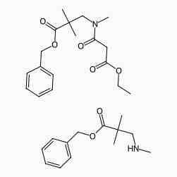 CCOC(=O)CC(=O)N(C)CC(C)(C)C(=O)OCc1ccccc1.CNCC(C)(C)C(=O)OCc1ccccc1